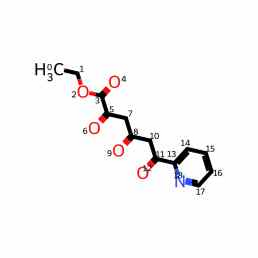 CCOC(=O)C(=O)CC(=O)CC(=O)c1ccccn1